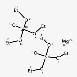 CCO[Si]([O-])(OCC)OCC.CCO[Si]([O-])(OCC)OCC.[Mg+2]